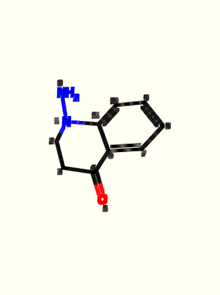 NN1CCC(=O)c2ccccc21